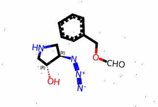 O=COCc1ccccc1.[N-]=[N+]=N[C@@H]1CNC[C@H]1O